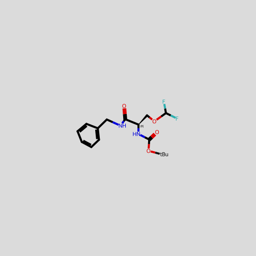 CC(C)(C)OC(=O)N[C@H](COC(F)F)C(=O)NCc1ccccc1